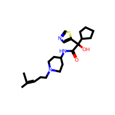 CC(C)=CCCN1CCC(NC(=O)C(O)(c2cncs2)C2CCCC2)CC1